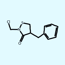 O=C1C(Cc2ccccc2)CSN1CCl